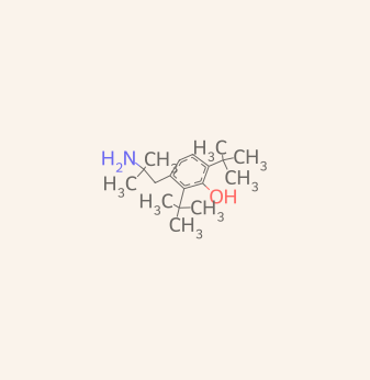 CC(C)(N)Cc1ccc(C(C)(C)C)c(O)c1C(C)(C)C